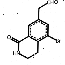 O=CCc1cc(Br)c2c(c1)C(=O)NCC2